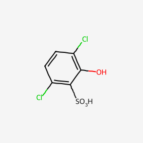 O=S(=O)(O)c1c(Cl)ccc(Cl)c1O